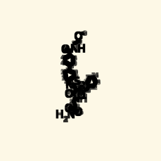 COCCNC(=O)c1ccc(-c2ccc3nc(C(C(=O)NCCS(N)(=O)=O)S(=O)(=O)Cc4ccccc4)sc3c2)cc1